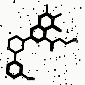 C=C(CCC(F)(F)F)c1nc(N2CCOC(c3ccnc(OC)c3)C2)cc2nc(C)n(C)c(=O)c12